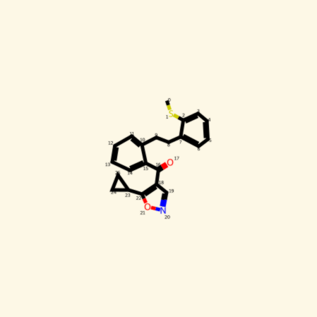 CSc1ccccc1CCc1ccccc1C(=O)c1cnoc1C1CC1